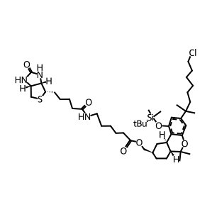 CC(C)(CCCCCCCl)c1cc2c(c(O[Si](C)(C)C(C)(C)C)c1)[C@@H]1C[C@H](COC(=O)CCCCCNC(=O)CCCC[C@@H]3SC[C@@H]4NC(=O)N[C@@H]43)CC[C@H]1C(C)(C)O2